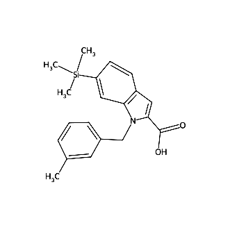 Cc1cccc(Cn2c(C(=O)O)cc3ccc([Si](C)(C)C)cc32)c1